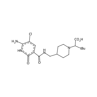 CC(C)(C)C(C(=O)O)N1CCC(CNC(=O)c2cc(Cl)c(N)[nH]c2=O)CC1